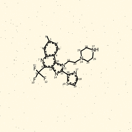 Cc1ccc2c(c1)nc(C(F)(F)F)c1nc(-c3nccs3)n(CCN3CCNCC3)c12